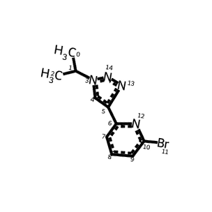 CC(C)n1cc(-c2cccc(Br)n2)nn1